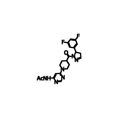 CC(=O)Nc1cc(N2CCC(C(=O)N3N=CCC3c3cc(F)cc(F)c3)CC2)ncn1